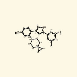 Cc1cc(-c2cn(-c3ccc(Br)cc3N3CCC4(CC3)CC4)nn2)nc(Cl)n1